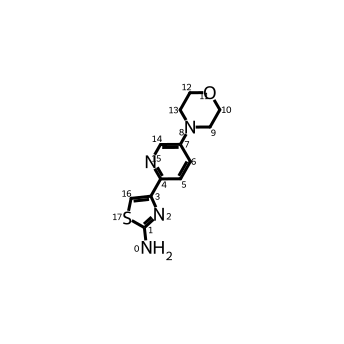 Nc1nc(-c2ccc(N3CCOCC3)cn2)cs1